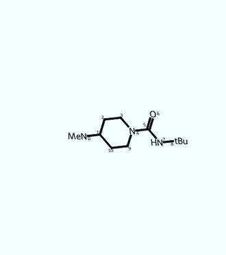 CNC1CCN(C(=O)NC(C)(C)C)CC1